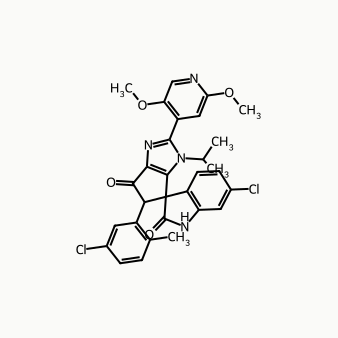 COc1cc(-c2nc3c(n2C(C)C)C2(C(=O)Nc4cc(Cl)ccc42)C(c2cc(Cl)ccc2C)C3=O)c(OC)cn1